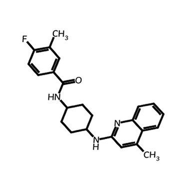 Cc1cc(C(=O)NC2CCC(Nc3cc(C)c4ccccc4n3)CC2)ccc1F